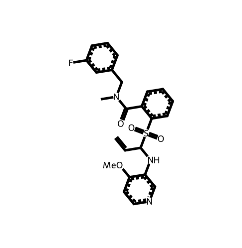 C=CC(Nc1cnccc1OC)S(=O)(=O)c1ccccc1C(=O)N(C)Cc1cccc(F)c1